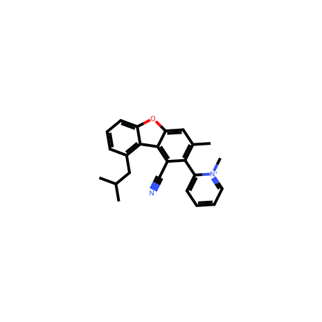 Cc1cc2oc3cccc(CC(C)C)c3c2c(C#N)c1-c1cccc[n+]1C